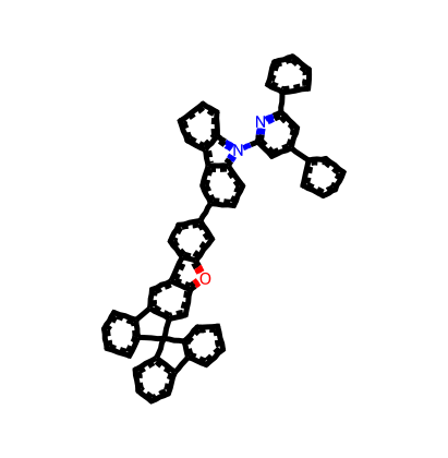 c1ccc(-c2cc(-c3ccccc3)nc(-n3c4ccccc4c4cc(-c5ccc6c(c5)oc5cc7c(cc56)-c5ccccc5C75c6ccccc6-c6ccccc65)ccc43)c2)cc1